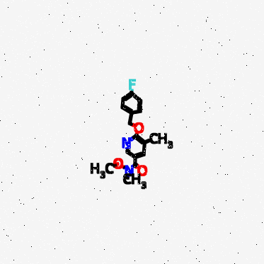 CON(C)C(=O)c1cnc(OCc2ccc(F)cc2)c(C)c1